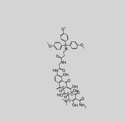 COc1ccc([PH](CCCC(=O)NCC(=O)Nc2ccc3c(c2O)C(=O)C2=C(O)[C@]4(O)C(=O)C(C(N)=O)=C(O)[C@@H](N(C)C)[C@@H]4[C@@H](O)[C@@H]2[C@H]3C)(c2ccc(OC)cc2)c2ccc(OC)cc2)cc1